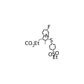 CCOC(=O)Cc1c(C)c(Sc2ccc(S(=O)(=O)CC)cc2)n2cc(F)ccc12